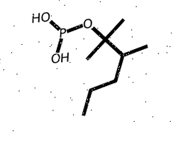 CCCC(C)C(C)(C)OP(O)O